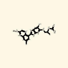 COc1cnc2c(-c3nc4cc(F)c(OCC(C)OC(=O)Cl)nc4s3)cc(C)cc2n1